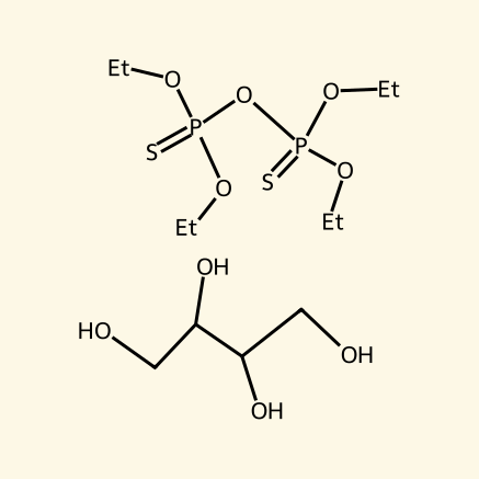 CCOP(=S)(OCC)OP(=S)(OCC)OCC.OCC(O)C(O)CO